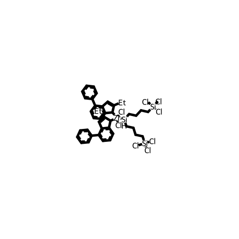 CCC1=Cc2c(-c3ccccc3)cccc2[CH]1[Zr]([Cl])([Cl])([CH]1C(CC)=Cc2c(-c3ccccc3)cccc21)[SiH](CCCC[Si](Cl)(Cl)Cl)CCCC[Si](Cl)(Cl)Cl